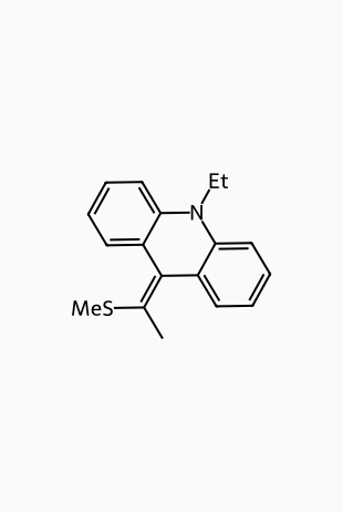 CCN1c2ccccc2C(=C(C)SC)c2ccccc21